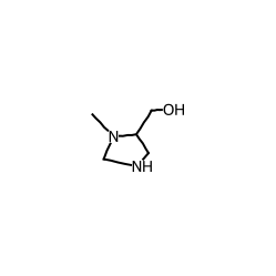 CN1CNCC1CO